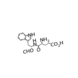 N[C@@H](CCC(=O)O)C(=O)N[C@H](C=O)Cc1c[nH]c2ccccc12